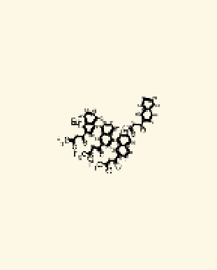 O=C(CC(=O)C(F)(F)F)c1ccc2ccccc2c1.O=C(CC(=O)C(F)(F)F)c1ccc2ccccc2c1.O=C(CC(=O)C(F)(F)F)c1ccc2ccccc2c1.O=C(CC(=O)C(F)(F)F)c1ccc2ccccc2c1.[Eu]